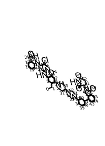 CCc1cc(Nc2ncc(Cl)c(Nc3ccccc3P(C)(C)=O)n2)c(OC)cc1N1CCC(N2CCN(c3cccc(-c4cccc5c4CN(C4CCC(=O)NC4=O)C5=O)c3)CC2)CC1